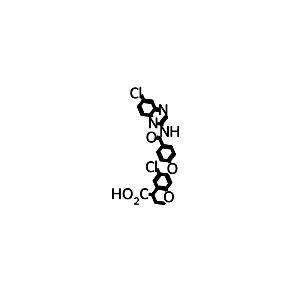 O=C(Nc1cnc2cc(Cl)ccc2n1)c1ccc(Oc2cc3c(cc2Cl)C(C(=O)O)CCO3)cc1